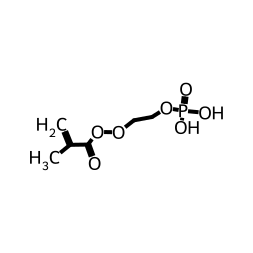 C=C(C)C(=O)OOCCOP(=O)(O)O